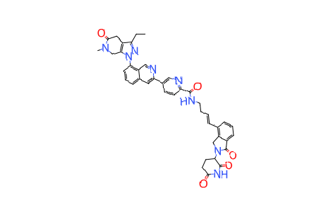 CCc1nn(-c2cccc3cc(-c4ccc(C(=O)NCC/C=C/c5cccc6c5CN(C5CCC(=O)NC5=O)C6=O)nc4)ncc23)c2c1CC(=O)N(C)C2